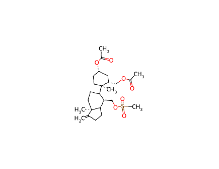 C=C1CCC2[C@H](COS(C)(=O)=O)C([C@@]3(C)CC[C@H](OC(C)=O)C[C@@H]3COC(C)=O)CC[C@]12C